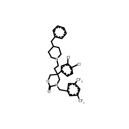 O=C1OCC(CCN2CCC(Cc3ccccc3)CC2)(c2ccc(Cl)c(Cl)c2)CN1Cc1cc(C(F)(F)F)cc(C(F)(F)F)c1